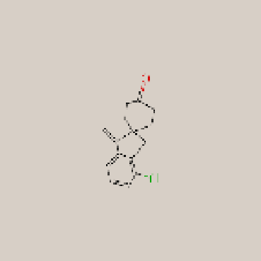 C=C1c2cccc(Cl)c2CC12CCC(=O)CC2